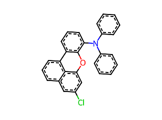 Clc1cc2c3c(cccc3c1)-c1cccc(N(c3ccccc3)c3ccccc3)c1O2